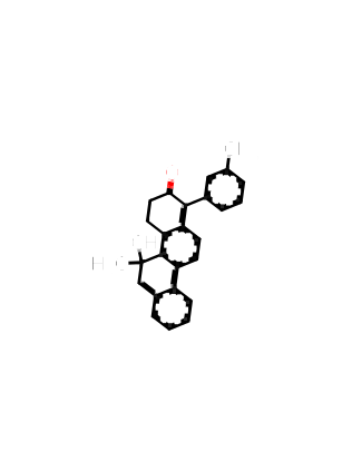 Cc1cccc(C2=c3ccc4c(c3CCC2=O)C(C)(C)C=c2ccccc2=4)c1